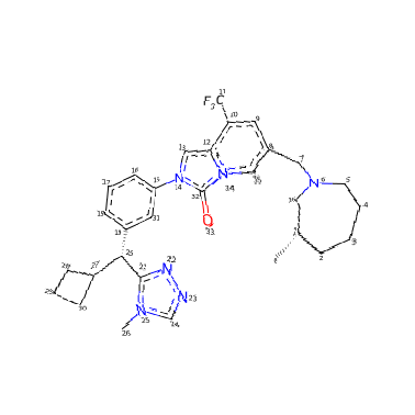 C[C@H]1CCCCN(Cc2cc(C(F)(F)F)c3cn(-c4cccc([C@H](c5nncn5C)C5CCC5)c4)c(=O)n3c2)C1